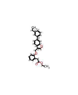 CCOC(=O)Cc1ccccc1OCc1coc2cc(-c3cccc(CC)c3)ccc12